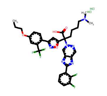 CCCOc1ccc(-c2cc(C(CCCCN(C)C)(C(=O)O)n3cc4nc(-c5cccc(F)c5F)nc-4cn3)on2)c(C(F)(F)F)c1.Cl.Cl